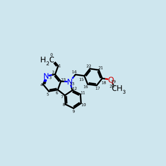 C=Cc1nccc2c3ccccc3n(Cc3ccc(OC)cc3)c12